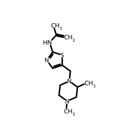 C=C(C)Nc1ncc(CN2CCN(C)CC2C)s1